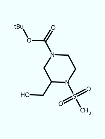 CC(C)(C)OC(=O)N1CCN(S(C)(=O)=O)C(CO)C1